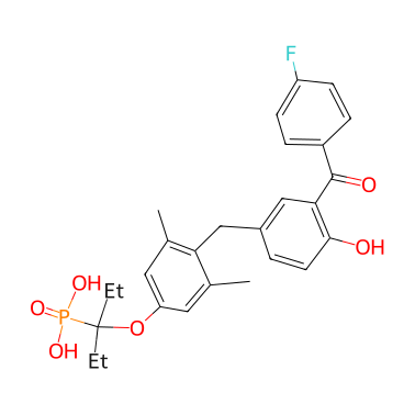 CCC(CC)(Oc1cc(C)c(Cc2ccc(O)c(C(=O)c3ccc(F)cc3)c2)c(C)c1)P(=O)(O)O